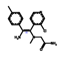 Cc1ccc(/C(N)=C(\c2ccncc2Cl)N(C)CC(N)=O)cc1